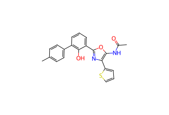 CC(=O)Nc1oc(-c2cccc(-c3ccc(C)cc3)c2O)nc1-c1cccs1